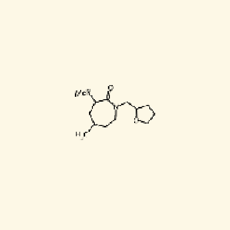 CNC1CC(C)CCN(CC2CCCO2)C1=O